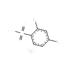 N.Nc1ccc(S(=O)(=O)O)c(N)c1